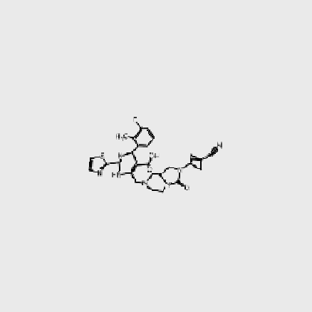 Cc1c(F)cccc1C1N=C(c2nccs2)NC(CN2CCN3C(=O)N(C45CC(C#N)(C4)C5)CC3C2)=C1C(=O)O